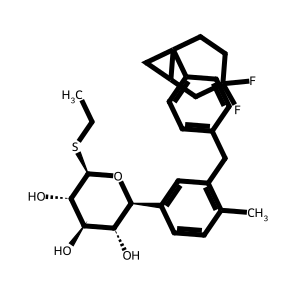 CCS[C@H]1O[C@@H](c2ccc(C)c(Cc3ccc(C45CCC(F)(F)CC4C5)cc3)c2)[C@H](O)[C@@H](O)[C@@H]1O